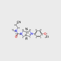 CCOc1ccc(N2C[C@H]3CN(C(=O)N(C)CCC#N)C[C@H]3C2)cc1